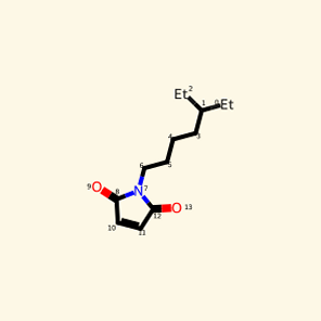 CCC(CC)CCCCN1C(=O)C=CC1=O